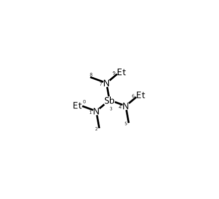 CC[N](C)[Sb]([N](C)CC)[N](C)CC